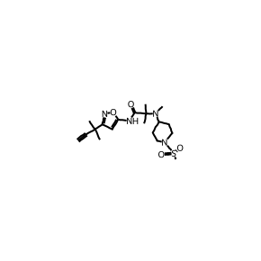 C#CC(C)(C)c1cc(NC(=O)C(C)(C)N(C)C2CCN(S(C)(=O)=O)CC2)on1